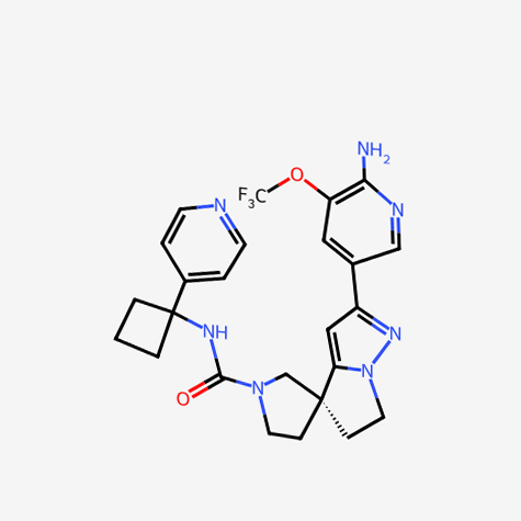 Nc1ncc(-c2cc3n(n2)CC[C@@]32CCN(C(=O)NC3(c4ccncc4)CCC3)C2)cc1OC(F)(F)F